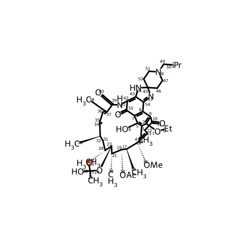 CCOc1c(C)c(O)c2c3c1C(=O)C/C=C/[C@H](OC)[C@@H](C)[C@@H](OC(C)=O)[C@H](C)[C@H](OC(C)(C)O)[C@H](C)C[C@@H](C)/C=C/C=C(/C)C(=O)NC(=C1NC4(CCN(CC(C)C)CC4)N=C13)C2=O